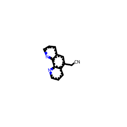 N#CCc1cc2cccnc2c2ncccc12